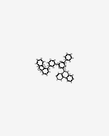 C1=CC2=C(CC1)c1ccccc1CC2c1nc(-c2ccccc2)nc(-c2cccc(-c3cccc4oc5ccccc5c34)c2)n1